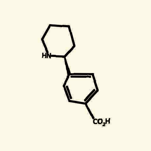 O=C(O)c1ccc([C@@H]2CCCCN2)cc1